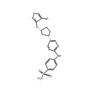 CC(C)c1csnc1O[C@@H]1CC[C@H](c2cnc(Nc3ccc(S(N)(=O)=O)cc3)nc2)C1